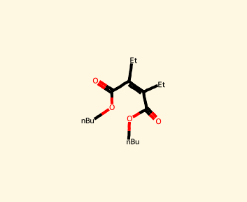 CCCCOC(=O)C(CC)=C(CC)C(=O)OCCCC